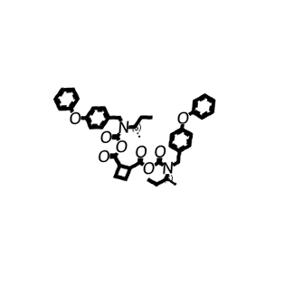 CC[C@H](C)N(Cc1ccc(Oc2ccccc2)cc1)C(=O)OC(=O)C1CCC1C(=O)OC(=O)N(Cc1ccc(Oc2ccccc2)cc1)[C@@H](C)CC